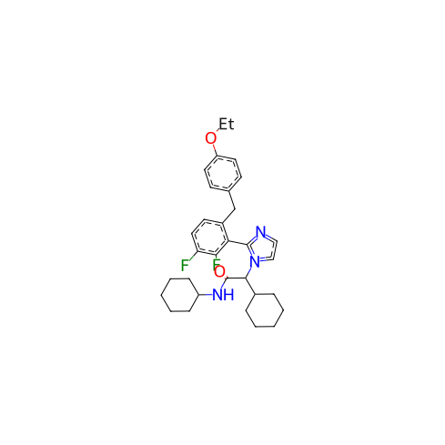 CCOc1ccc(Cc2ccc(F)c(F)c2-c2nccn2C(C(=O)NC2CCCCC2)C2CCCCC2)cc1